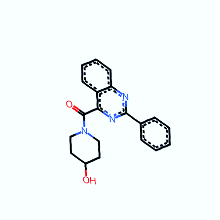 O=C(c1nc(-c2ccccc2)nc2ccccc12)N1CCC(O)CC1